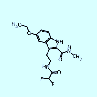 CCOc1ccc2[nH]c(C(=O)NC)c(CCNC(=O)C(F)F)c2c1